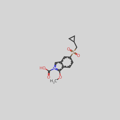 COc1c2ccc(S(=O)(=O)CC3CC3)cc2cn1C(=O)O